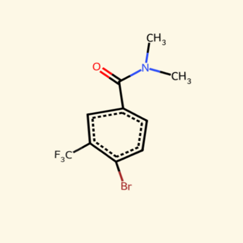 CN(C)C(=O)c1ccc(Br)c(C(F)(F)F)c1